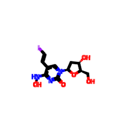 O=c1nc(NO)c(/C=C/I)cn1[C@H]1C[C@H](O)[C@@H](CO)O1